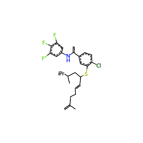 C=C(C)CCC=CC(CC(C)C(C)C)Sc1cc(C(=C)Nc2cc(F)c(F)c(F)c2)ccc1Cl